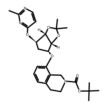 Cc1nccc(O[C@@H]2C[C@H](Oc3cccc4c3CN(C(=O)OC(C)(C)C)CC4)[C@H]3OC(C)(C)O[C@H]32)n1